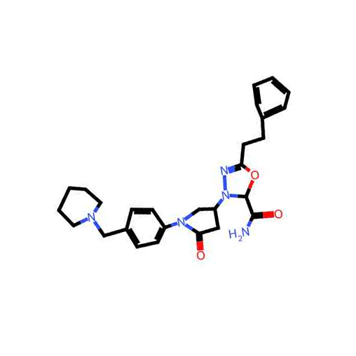 NC(=O)C1OC(CCc2ccccc2)=NN1C1CC(=O)N(c2ccc(CN3CCCCC3)cc2)C1